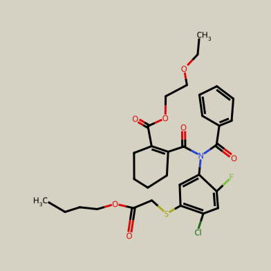 CCCCOC(=O)CSc1cc(N(C(=O)C2=C(C(=O)OCCOCC)CCCC2)C(=O)c2ccccc2)c(F)cc1Cl